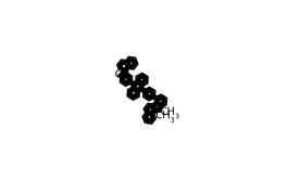 CC1(C)c2cccc(-c3ccc(-c4c5ccccc5c(-c5ccc6oc7ccc8ccccc8c7c6c5)c5ccccc45)cc3)c2-c2ccc3ccccc3c21